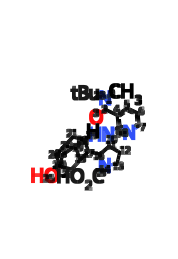 CN(C(=O)c1cccnc1NC1CCN(C(=O)O)C1C1C2CC3C[C@H]1C[C@@](O)(C3)C2)C(C)(C)C